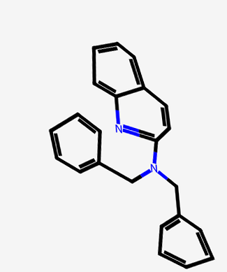 c1ccc(CN(Cc2ccccc2)c2ccc3ccccc3n2)cc1